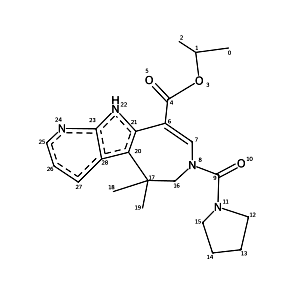 CC(C)OC(=O)C1=CN(C(=O)N2CCCC2)CC(C)(C)c2c1[nH]c1ncccc21